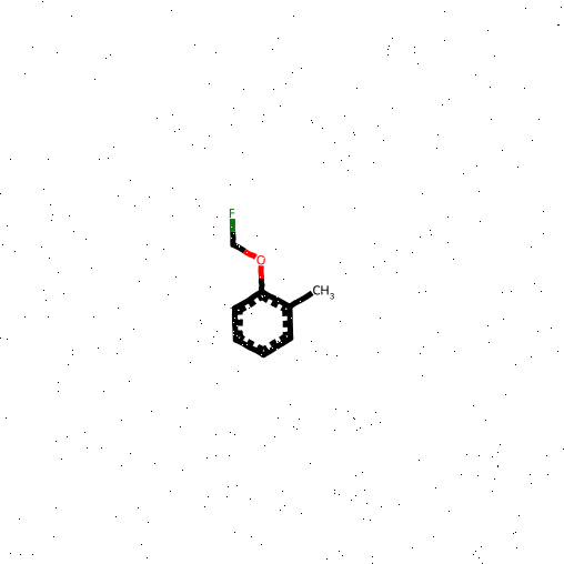 Cc1ccc[c]c1OCF